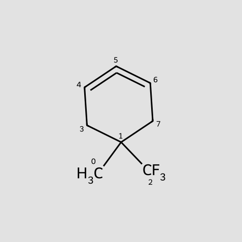 CC1(C(F)(F)F)CC=C=CC1